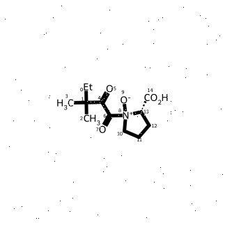 CCC(C)(C)C(=O)C(=O)[N+]1([O-])CCC[C@H]1C(=O)O